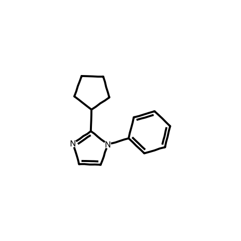 c1ccc(-n2ccnc2C2CCCC2)cc1